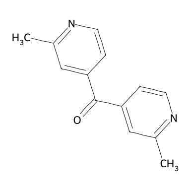 Cc1cc(C(=O)c2ccnc(C)c2)ccn1